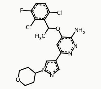 CC(Oc1cc(-c2cnn(C3CCOCC3)c2)nnc1N)c1c(Cl)ccc(F)c1Cl